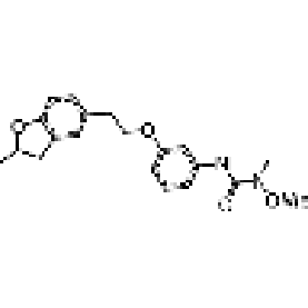 CON(C)C(=O)Nc1cccc(OCCc2ccc3c(c2)CC(C)O3)c1